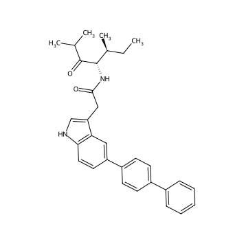 CC[C@H](C)[C@H](NC(=O)Cc1c[nH]c2ccc(-c3ccc(-c4ccccc4)cc3)cc12)C(=O)C(C)C